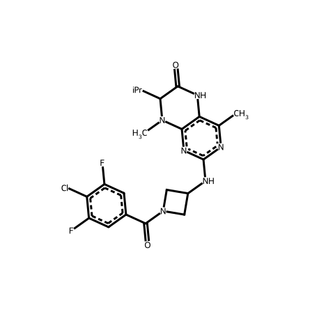 Cc1nc(NC2CN(C(=O)c3cc(F)c(Cl)c(F)c3)C2)nc2c1NC(=O)C(C(C)C)N2C